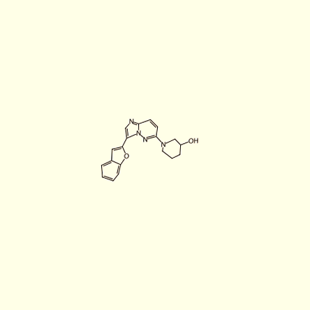 OC1CCCN(c2ccc3ncc(-c4cc5ccccc5o4)n3n2)C1